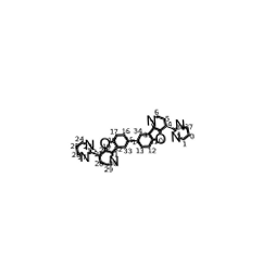 c1cnc(-c2ccnc3c2oc2ccc(-c4ccc5oc6c(-c7ncccn7)ccnc6c5c4)cc23)nc1